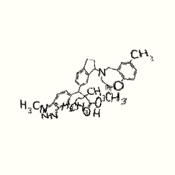 Cc1ccc2c(c1)CN(C1CCc3ccc(C(c4ccc5c(nnn5C)c4C)C(C)(C)C(=O)O)cc31)C[C@@H](C)O2